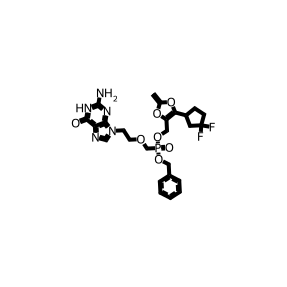 C=C1OC(COP(=O)(COCCn2cnc3c(=O)[nH]c(N)nc32)OCc2ccccc2)=C(C2CCC(F)(F)C2)O1